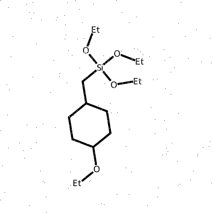 CCOC1CCC(C[Si](OCC)(OCC)OCC)CC1